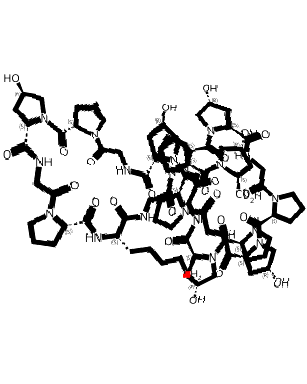 NCCCC[C@H](NC(=O)[C@@H]1CCCN1C(=O)CNC(=O)[C@@H]1C[C@@H](O)CN1C(=O)[C@@H]1CCCN1C(=O)CNC(=O)[C@@H]1C[C@@H](O)CN1C(=O)[C@@H]1CCCN1C(=O)CNC(=O)[C@@H]1C[C@@H](O)CN1C(=O)[C@@H]1CCCN1C(=O)CNC(=O)[C@@H]1C[C@@H](O)CN1C(=O)[C@@H]1CCCN1C(=O)CNC(=O)[C@@H]1C[C@@H](O)CN1C(=O)[C@@H]1CCCN1)C(=O)NCC(=O)N1CCC[C@H]1C(=O)N1C[C@H](O)C[C@H]1C(=O)O